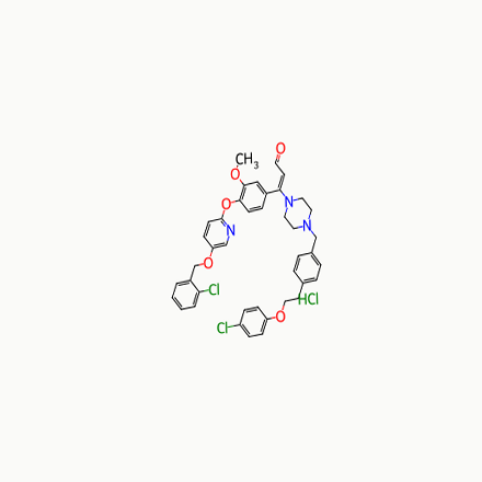 COc1cc(/C(=C\C=O)N2CCN(Cc3ccc(CCOc4ccc(Cl)cc4)cc3)CC2)ccc1Oc1ccc(OCc2ccccc2Cl)cn1.Cl